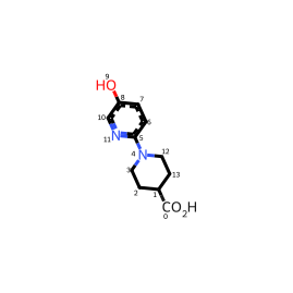 O=C(O)C1CCN(c2ccc(O)cn2)CC1